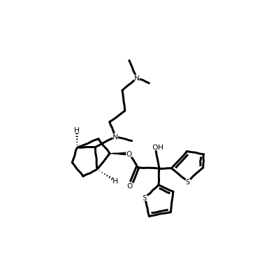 CN(C)CCCN(C)C1[C@H]2CC[C@@H]1[C@H](OC(=O)C(O)(c1cccs1)c1cccs1)C2